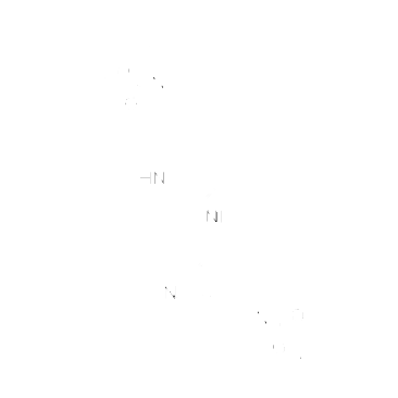 CCCN(CCCc1c[nH]c2cc(Nc3ccc4c(c3)c(C3CCN(C(=O)OC(C)(C)C)CC3)cn4C)ccc12)C(=O)OC(C)(C)C